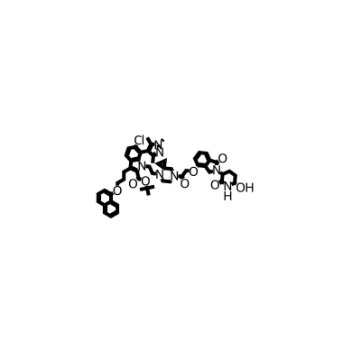 Cc1nn(C)c(C)c1-c1c(Cl)ccc2c(CCCOc3cccc4ccccc34)c(C(=O)OC(C)(C)C)n(CCN3CCN(C(=O)COc4cccc5c4CN(C4CCC(O)NC4=O)C5=O)CC34CC4)c12